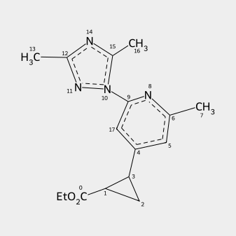 CCOC(=O)C1CC1c1cc(C)nc(-n2nc(C)nc2C)c1